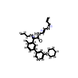 C=C/C=N\C=C\NC(=O)/C(=N/CCC)c1cc(-c2cncc(N3CCCCC3)c2)ccc1C